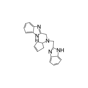 C1=CCC(N(Cc2nc3ccccc3[nH]2)Cc2nc3ccccc3[nH]2)C1